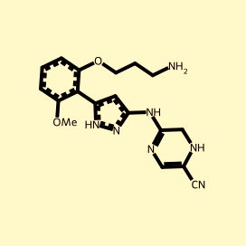 COc1cccc(OCCCN)c1-c1cc(NC2=NC=C(C#N)NC2)n[nH]1